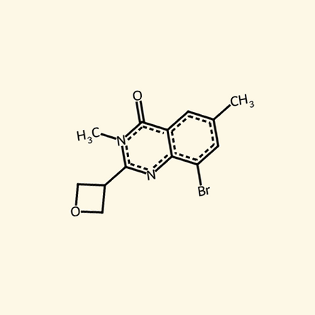 Cc1cc(Br)c2nc(C3COC3)n(C)c(=O)c2c1